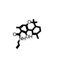 C=CCNC(=O)c1c(C)cc2c(c1O)C1C=C(C)CCC1C(C)(C)O2